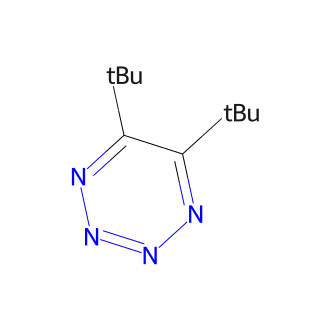 CC(C)(C)c1nnnnc1C(C)(C)C